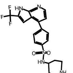 O=S(=O)(NC1CCNCC1)c1ccc(-c2ccnc3[nH]c(C(F)(F)F)cc23)cc1